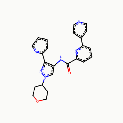 O=C(Nc1cn(C2CCOCC2)nc1-c1ccccn1)c1cccc(-c2ccncc2)n1